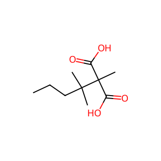 CCCC(C)(C)C(C)(C(=O)O)C(=O)O